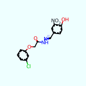 O=C(COc1cccc(Cl)c1)N/N=C/c1ccc(O)c([N+](=O)[O-])c1